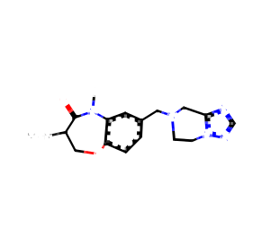 CNC1COc2ccc(CN3CCn4ncnc4C3)cc2N(C)C1=O